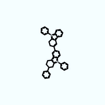 C1=C(c2ccc3c(c2)c2c(n3-c3ccccc3)CC(c3ccccc3)CC2)CCc2c1c1ccccc1n2-c1ccccc1